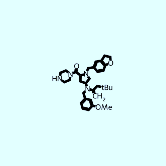 C=C(CC(C)(C)C)N(Cc1cccc(OC)c1)C1CC(C(=O)N2CCNCC2)N(Cc2ccc3c(c2)CCO3)C1